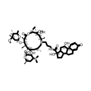 CC[C@H]1OC(=O)[C@H](C)[C@@H](O[C@@H]2C[C@](C)(OC)[C@H](C)C(C)O2)[C@H](C)[C@@H](O[C@@H]2O[C@H](C)C[C@@H](N(C)C)[C@H]2O)[C@](C)(O)C[C@@H](C)CN(CCCNC(=O)[C@@]2(O)CCC3C4CCC5=CC(=O)C=C[C@]5(C)C4[C@@H](O)C[C@@]32C)[C@H](C)[C@@H](O)[C@]1(C)O